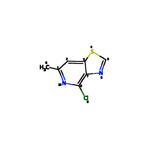 Cc1cc2scnc2c(Cl)n1